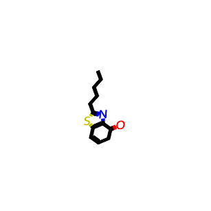 CCCCCc1nc2c(s1)C=CCC2=O